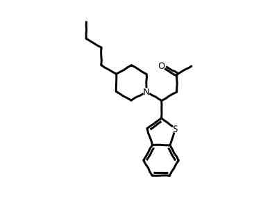 CCCCC1CCN(C(CC(C)=O)c2cc3ccccc3s2)CC1